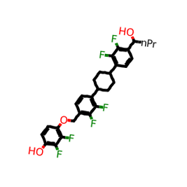 CCCC(O)c1ccc(C2CCC(c3ccc(COc4ccc(O)c(F)c4F)c(F)c3F)CC2)c(F)c1F